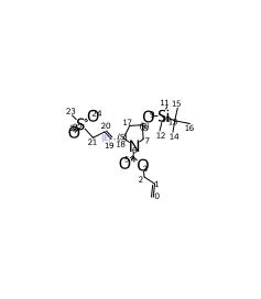 C=CCOC(=O)N1C[C@H](O[Si](C)(C)C(C)(C)C)C[C@H]1/C=C/CS(C)(=O)=O